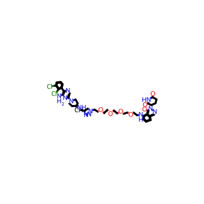 CC1(NCC2CN(CCOCCOCCOCCOCCNc3cccc4cnn(C5CCC(=O)NC5=O)c(=O)c34)N=N2)CCN(c2cnc(-c3cccc(Cl)c3Cl)c(N)n2)CC1